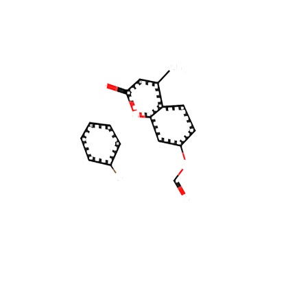 Brc1ccccc1.Cc1cc(=O)oc2cc(OC=O)ccc12